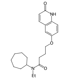 CCN(C(=O)CCCOc1ccc2[nH]c(=O)ccc2c1)C1CCCCCC1